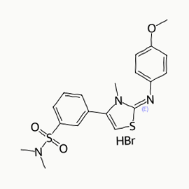 Br.COc1ccc(/N=c2/scc(-c3cccc(S(=O)(=O)N(C)C)c3)n2C)cc1